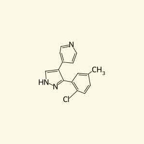 Cc1ccc(Cl)c(-c2n[nH]cc2-c2ccncc2)c1